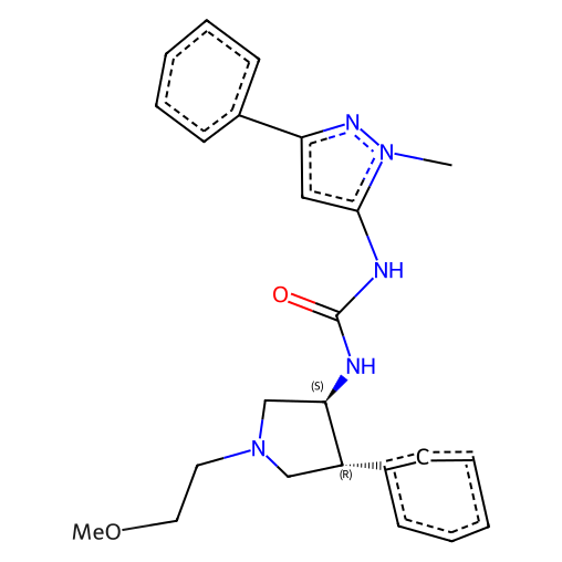 COCCN1C[C@@H](NC(=O)Nc2cc(-c3ccccc3)nn2C)[C@H](c2ccccc2)C1